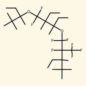 CCC(C)(OC(F)(F)C(C)(CC)C(C)(CC)OC(F)(F)C(F)(C(F)(F)F)C(C)(CC)C(C)(C)C)C(C)(C)C